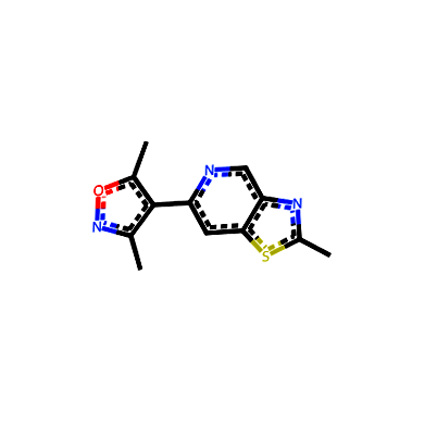 Cc1nc2cnc(-c3c(C)noc3C)cc2s1